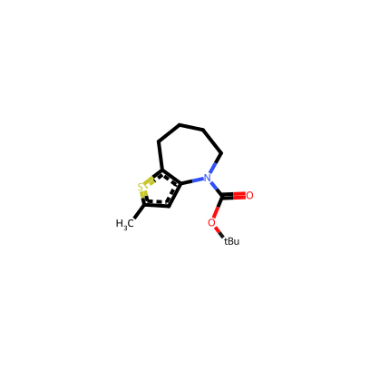 Cc1cc2c(s1)CCCCN2C(=O)OC(C)(C)C